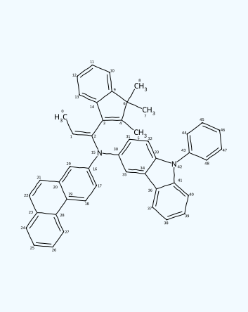 C/C=C(\C1=C(C)C(C)(C)c2ccccc21)N(c1ccc2c(ccc3ccccc32)c1)c1ccc2c(c1)c1ccccc1n2-c1ccccc1